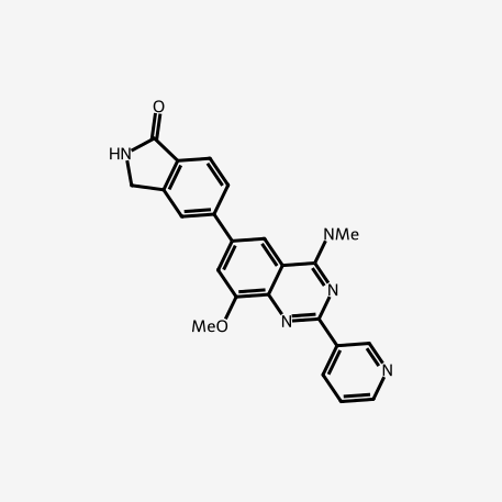 CNc1nc(-c2cccnc2)nc2c(OC)cc(-c3ccc4c(c3)CNC4=O)cc12